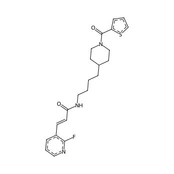 O=C(/C=C/c1cccnc1F)NCCCCC1CCN(C(=O)c2cccs2)CC1